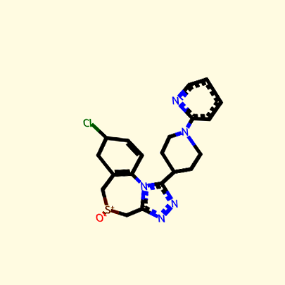 [O-][S+]1CC2=C(C=CC(Cl)C2)n2c(nnc2C2CCN(c3ccccn3)CC2)C1